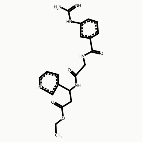 CCOC(=O)CC(NC(=O)CNC(=O)c1cccc(NC(=N)N)c1)c1cccnc1